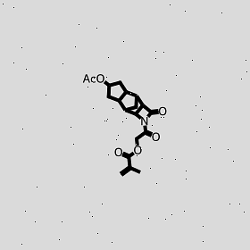 C=C(C)C(=O)OCC(=O)N1C(=O)C2C3CC(C4CC(OC(C)=O)CC43)C21